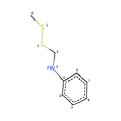 CSSCNc1ccccc1